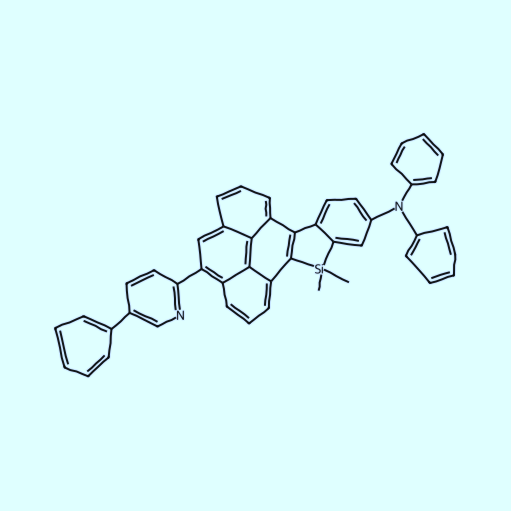 C[Si]1(C)c2cc(N(c3ccccc3)c3ccccc3)ccc2-c2c1c1cccc3c(-c4ccc(-c5ccccc5)cn4)cc4cccc2c4c31